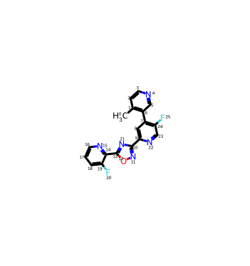 Cc1ccncc1-c1cc(-c2noc(-c3ncccc3F)n2)ncc1F